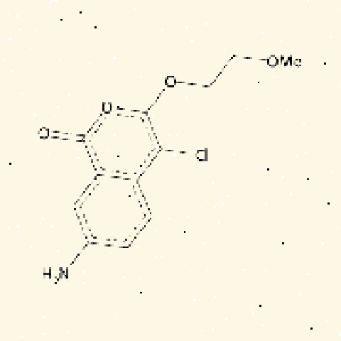 COCCOc1oc(=O)c2cc(N)ccc2c1Cl